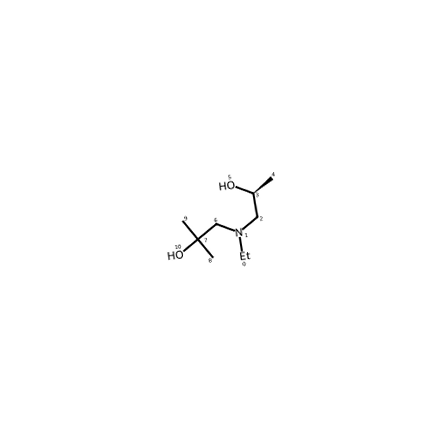 CCN(C[C@H](C)O)CC(C)(C)O